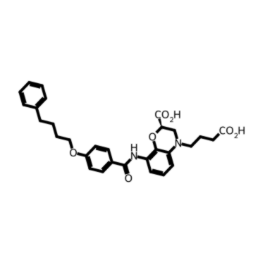 O=C(O)CCCN1C[C@H](C(=O)O)Oc2c(NC(=O)c3ccc(OCCCCc4ccccc4)cc3)cccc21